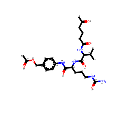 CC(=O)CCCC(=O)NC(C(=O)NC(CCCNC(N)=O)C(=O)Nc1ccc(COC(C)=O)cc1)C(C)C